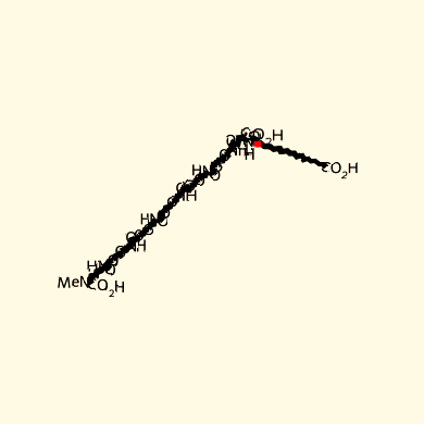 CN[C@@H](CCCCNC(=O)COCCOCCNC(=O)COCCOCCNC(=O)COCCOCCNC(=O)COCCOCCNC(=O)COCCOCCNC(=O)CC[C@H](NC(=O)CCCCCCCCCCCCCCCCCCC(=O)O)C(=O)O)C(=O)O